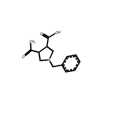 CC(=O)C1CN(Cc2ccccc2)CC1C(=O)O